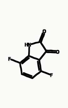 O=C1Nc2c(F)ccc(F)c2C1=O